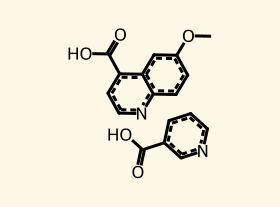 COc1ccc2nccc(C(=O)O)c2c1.O=C(O)c1cccnc1